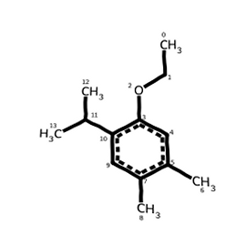 CCOc1cc(C)c(C)cc1C(C)C